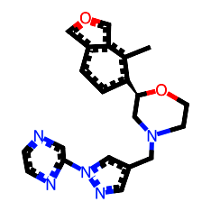 Cc1c([C@@H]2CN(Cc3cnn(-c4cnccn4)c3)CCO2)ccc2cocc12